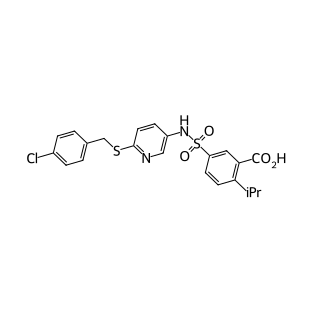 CC(C)c1ccc(S(=O)(=O)Nc2ccc(SCc3ccc(Cl)cc3)nc2)cc1C(=O)O